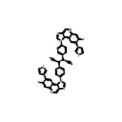 N#CC(c1ccc(-n2cnc3cnc4cc(F)c(-c5ccsc5)cc4c32)cc1)C(C#N)c1ccc(-n2cnc3cnc4cc(F)c(-c5ccsc5)cc4c32)cc1